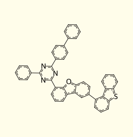 c1ccc(-c2ccc(-c3nc(-c4ccccc4)nc(-c4cccc5c4oc4ccc(-c6cccc7sc8ccccc8c67)cc45)n3)cc2)cc1